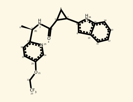 C[C@@H](NC(=O)C1CC1c1cc2ccccc2[nH]1)c1ccc(OCC(F)(F)F)cn1